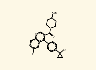 CSN1CCN(C(=O)c2cnc3ccc(F)cc3c2-c2ccc(C3(C#N)CC3)cc2)CC1